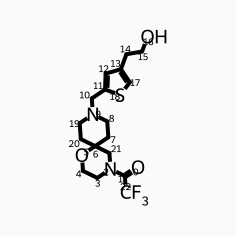 O=C(N1CCOC2(CCN(Cc3cc(CCO)cs3)CC2)C1)C(F)(F)F